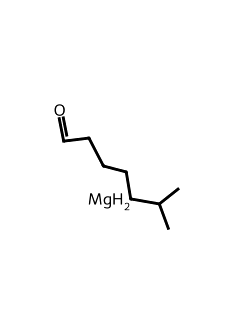 CC(C)CCCCC=O.[MgH2]